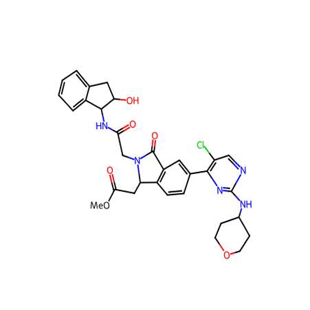 COC(=O)CC1c2ccc(-c3nc(NC4CCOCC4)ncc3Cl)cc2C(=O)N1CC(=O)NC1c2ccccc2CC1O